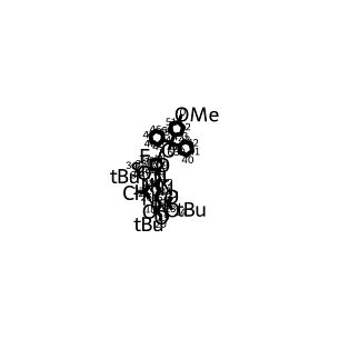 COc1ccc(C(OC[C@H]2O[C@@H](n3cnc4c(N(C(=O)OC(C)(C)C)C(=O)OC(C)(C)C)nc(Cl)nc43)[C@H](O[Si](C)(C)C(C)(C)C)[C@@H]2F)(c2ccccc2)c2ccccc2)cc1